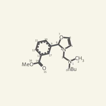 CCCCN(C)CN1C=COC1c1cccc(C(=O)OC)c1